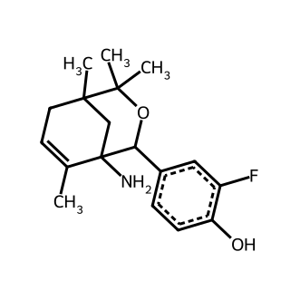 CC1=CCC2(C)CC1(N)C(c1ccc(O)c(F)c1)OC2(C)C